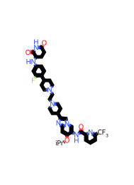 CC(C)Oc1cc2nc(C3CCN(CCN4CCC(c5ccc(NC6CCC(=O)NC6=O)cc5F)CC4)CC3)cn2cc1NC(=O)c1cccc(C(F)(F)F)n1